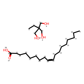 CCC(CO)(CO)CO.CCCCCCCC/C=C\CCCCCCCC(=O)O